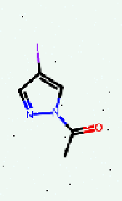 CC(=O)n1cc(I)cn1